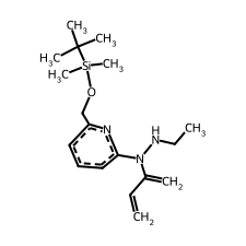 C=CC(=C)N(NCC)c1cccc(CO[Si](C)(C)C(C)(C)C)n1